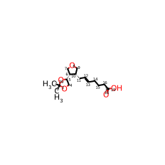 CC1(C)OCC([C@@H]2COC[C@@H]2CC=CCCCC(=O)O)O1